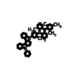 Cc1cc(C)c(B2c3ccccc3B(c3c(C)cc(-n4c5ccccc5c5c6c7ccccc7n(-c7ccccc7)c6ccc54)cc3C)c3ccccc32)c(C)c1